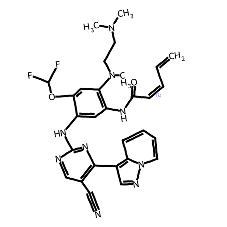 C=C/C=C\C(=O)Nc1cc(Nc2ncc(C#N)c(-c3cnn4ccccc34)n2)c(OC(F)F)cc1N(C)CCN(C)C